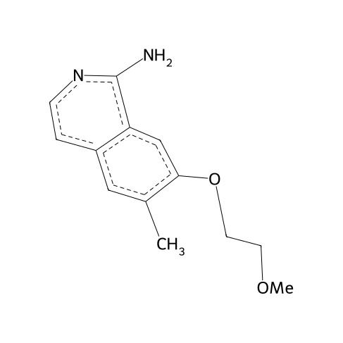 COCCOc1cc2c(N)nccc2cc1C